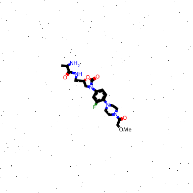 COCC(=O)N1CCN(c2ccc(N3CC(CNC(=O)C(C)N)OC3=O)cc2F)CC1